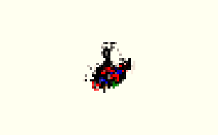 [2H]c1c(C)c([2H])c2c(=O)c([2H])c(SC([2H])([2H])c3cccc(F)c3F)n(CC(=O)N(C([2H])([2H])c3ccc(-c4ccc(C(F)(F)F)cc4)cc3)C3([2H])C([2H])([2H])C([2H])([2H])N(C([2H])([2H])COC([2H])([2H])[2H])C([2H])([2H])C3([2H])[2H])c2c1[2H]